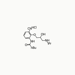 CCCCC(=O)Nc1cccc(C#N)c1OCC(O)CNC(C)C.Cl